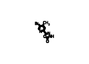 Cc1cc(-c2n[nH]c(=O)o2)ncc1Br